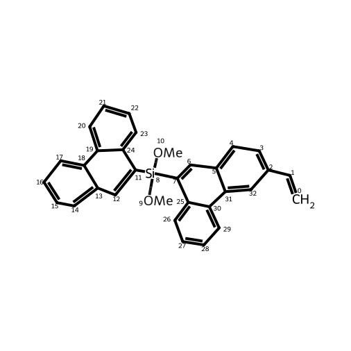 C=Cc1ccc2cc([Si](OC)(OC)c3cc4ccccc4c4ccccc34)c3ccccc3c2c1